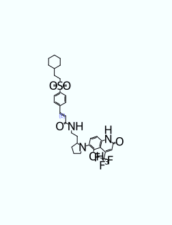 Cc1c(N2CCCC2CCNC(=O)/C=C/c2ccc(S(=O)(=O)CCC3CCCCC3)cc2)ccc2[nH]c(=O)cc(C(F)(F)F)c12